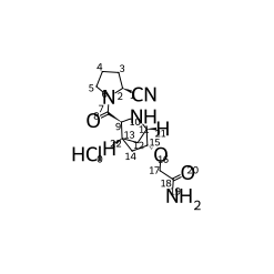 Cl.N#C[C@@H]1CCCN1C(=O)[C@H]1N[C@H]2C[C@@H]1C[C@H]2OCC(N)=O